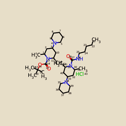 CC1CC(N2CCCCC2)CC(C)N1C(=O)OC(C)(C)C.CCCCCNC(=O)N1C(C)CC(N2CCCCC2)CC1C.Cl